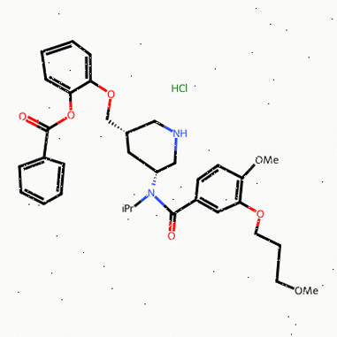 COCCCOc1cc(C(=O)N(C(C)C)[C@H]2CNC[C@@H](COc3ccccc3OC(=O)c3ccccc3)C2)ccc1OC.Cl